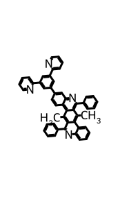 Cc1c2c(-c3ccccc3)nc3cc(-c4cc(-c5ccccn5)cc(-c5ccccn5)c4)ccc3c2c(C)c2c(-c3ccccc3)nc3ccccc3c12